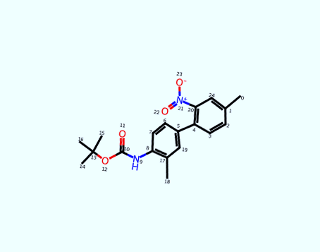 Cc1ccc(-c2ccc(NC(=O)OC(C)(C)C)c(C)c2)c([N+](=O)[O-])c1